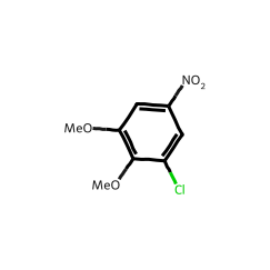 COc1cc([N+](=O)[O-])cc(Cl)c1OC